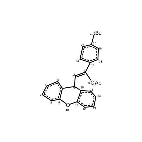 CC(=O)OC(=CC1c2ccccc2Oc2ccccc21)c1ccc(C(C)(C)C)cc1